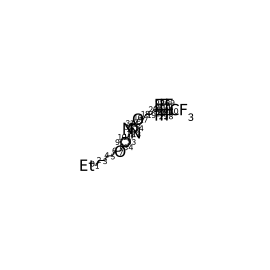 CCC=CCCCCOc1ccc(-c2ncc(OCCCCC(F)(F)C(F)(F)C(F)(F)C(F)(F)F)cn2)cc1